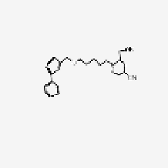 OCC1CC(O)CCN1CCCCCOCc1cccc(-c2ccccc2)c1